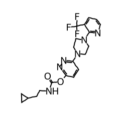 O=C(NCCC1CC1)Oc1ccc(N2CCN(c3ncccc3C(F)(F)F)CC2)nn1